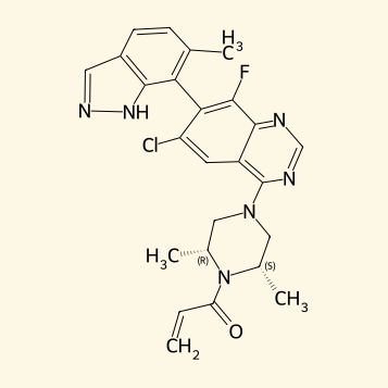 C=CC(=O)N1[C@H](C)CN(c2ncnc3c(F)c(-c4c(C)ccc5cn[nH]c45)c(Cl)cc23)C[C@@H]1C